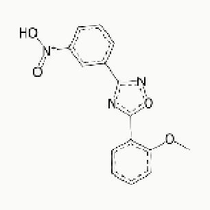 COc1ccccc1-c1nc(-c2cccc([N+](=O)O)c2)no1